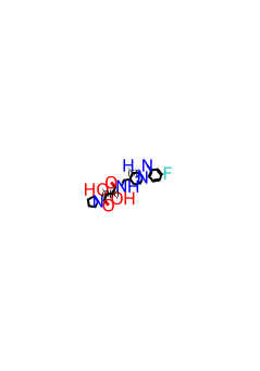 C[C@@H]1CN(c2ccc(F)cc2N)CCC1CNC(=O)[C@H](O)[C@@H](O)C(=O)N1CCCC1